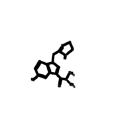 CN(C)C(=O)c1cn(CC2=NCCN2)c2ccc(Cl)cc12